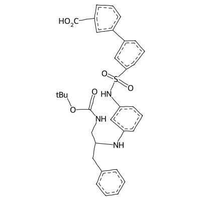 CC(C)(C)OC(=O)NCC(Cc1ccccc1)Nc1cccc(NS(=O)(=O)c2cccc(-c3cccc(C(=O)O)c3)c2)c1